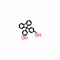 OCc1ccc(C2(c3ccc(O)cc3)c3ccccc3-c3ccccc32)cc1